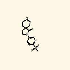 CS(=O)(=O)c1ccc(N2CCC3(CCNCC3)C2=O)cn1